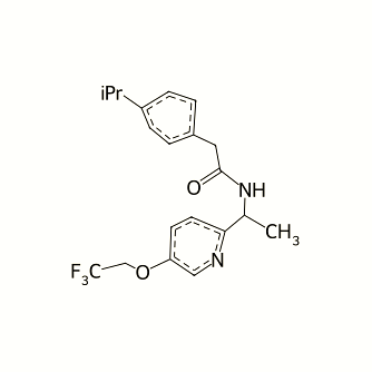 CC(C)c1ccc(CC(=O)NC(C)c2ccc(OCC(F)(F)F)cn2)cc1